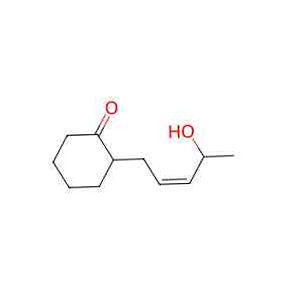 CC(O)/C=C\CC1CCCCC1=O